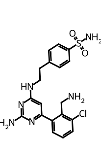 NCc1c(Cl)cccc1-c1cc(NCCc2ccc(S(N)(=O)=O)cc2)nc(N)n1